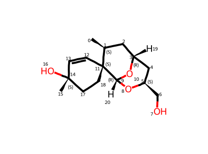 C[C@H]1C[C@@H]2C[C@@H](CO)O[C@@H](O2)[C@]12C=C[C@@](C)(O)CC2